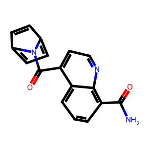 NC(=O)c1cccc2c(C(=O)n3c4ccc3cc4)ccnc12